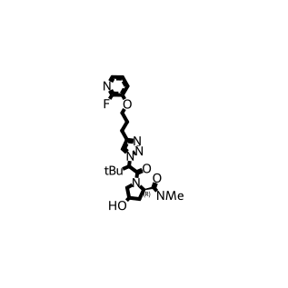 CNC(=O)[C@H]1CC(O)CN1C(=O)C(n1cc(CCCOc2cccnc2F)nn1)C(C)(C)C